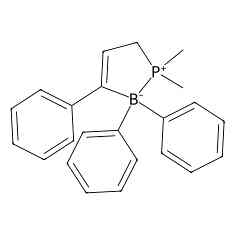 C[P+]1(C)CC=C(c2ccccc2)[B-]1(c1ccccc1)c1ccccc1